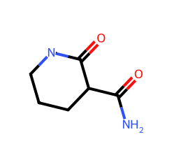 NC(=O)C1CCC[N]C1=O